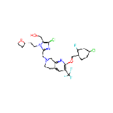 OCc1c(Cl)nc(CN2CCc3cc(C(F)(F)F)c(OCC4CCC(Cl)CC4F)nc3C2)n1CC[C@@H]1CCO1